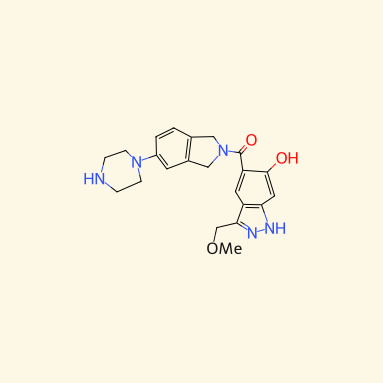 COCc1n[nH]c2cc(O)c(C(=O)N3Cc4ccc(N5CCNCC5)cc4C3)cc12